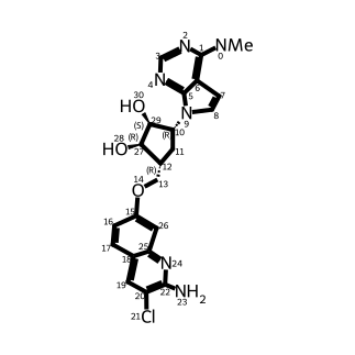 CNc1ncnc2c1ccn2[C@@H]1C[C@H](COc2ccc3cc(Cl)c(N)nc3c2)[C@@H](O)[C@H]1O